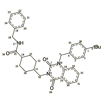 CC(C)(C)c1ccc(Cn2c(=O)n(CC3CCC(C(=O)NCc4ccccc4)CC3)c(=O)c3ccccc32)cc1